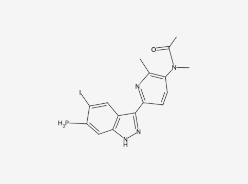 CC(=O)N(C)c1ccc(-c2n[nH]c3cc(P)c(I)cc23)nc1C